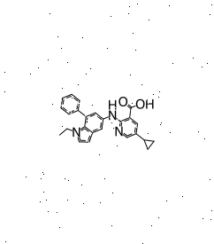 CCn1ccc2cc(Nc3ncc(C4CC4)cc3C(=O)O)cc(-c3ccccc3)c21